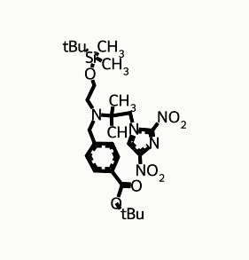 CC(C)(C)OC(=O)c1ccc(CN(CCO[Si](C)(C)C(C)(C)C)C(C)(C)Cn2cc([N+](=O)[O-])nc2[N+](=O)[O-])cc1